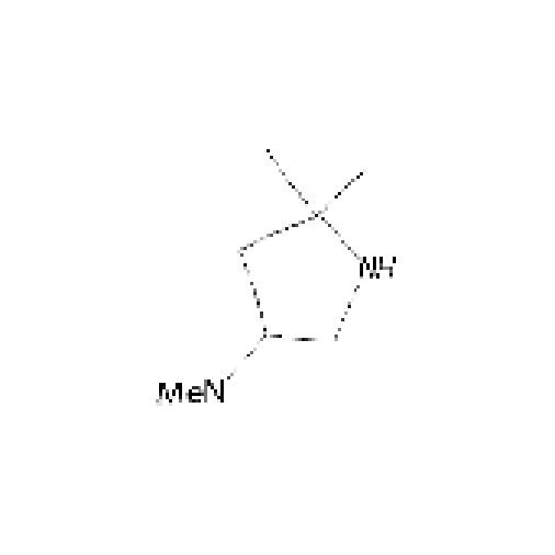 CNC1CNC(C)(C)C1